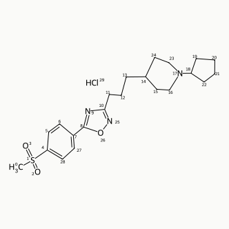 CS(=O)(=O)c1ccc(-c2nc(CCCC3CCN(C4CCCC4)CC3)no2)cc1.Cl